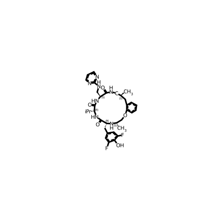 CC(C)[C@H]1NC(=O)[C@@H](Cc2cc(F)c(O)c(F)c2)N[C@@H](C)COc2ccccc2C[C@H](C)CNC(=O)[C@H](CNc2ncccn2)NC1=O